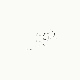 COc1cc2ncc(I)n2cc1S(=O)(=O)CCCO